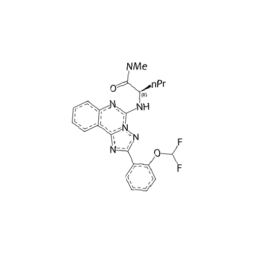 CCC[C@@H](Nc1nc2ccccc2c2nc(-c3ccccc3OC(F)F)nn12)C(=O)NC